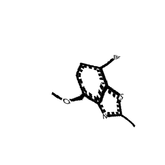 COc1ccc(Br)c2sc(C)nc12